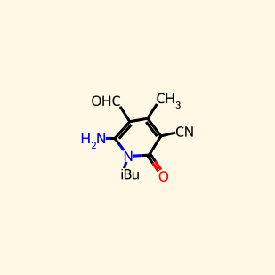 CCC(C)n1c(N)c(C=O)c(C)c(C#N)c1=O